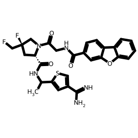 CC(NC(=O)[C@@H]1C[C@](F)(CF)CN1C(=O)CNC(=O)c1ccc2c(c1)oc1ccccc12)c1cc(C(=N)N)cs1